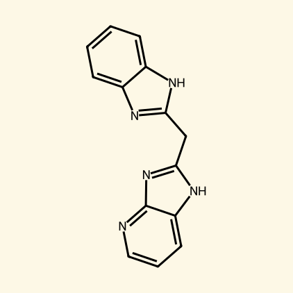 c1ccc2[nH]c(Cc3nc4ncccc4[nH]3)nc2c1